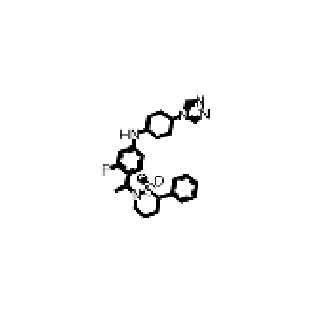 CC(c1ccc(NC2CCC(n3cnnc3)CC2)cc1F)N1CCCC(c2ccccc2)S1(=O)=O